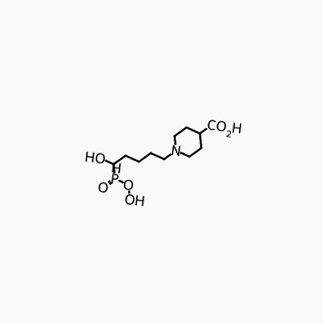 O=C(O)C1CCN(CCCCC(O)[PH](=O)OO)CC1